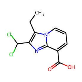 CCc1c(C(Cl)Cl)nc2c(C(=O)O)cccn12